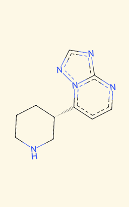 c1cc([C@H]2CCCNC2)n2ncnc2n1